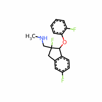 CNCC1(F)Cc2cc(F)ccc2C1Oc1ccccc1F